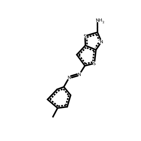 Cc1ccc(N=Nc2cc3sc(N)nc3s2)cc1